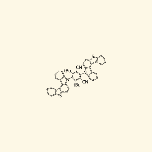 CC(C)(C)c1c(C#N)c(-n2c3ccccc3c3c4c(ccc32)sc2ccccc24)c(C#N)c(C(C)(C)C)c1-n1c2ccccc2c2c3c(ccc21)sc1ccccc13